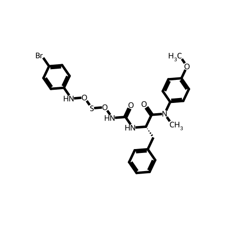 COc1ccc(N(C)C(=O)[C@H](Cc2ccccc2)NC(=O)NOSONc2ccc(Br)cc2)cc1